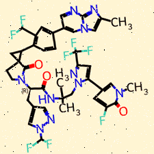 Cc1cn2cc(-c3ccc(C4CC45CCN([C@H](Cc4cnn(C(F)F)c4)C(=O)NC(C)(C)Cn4nc(C(F)(F)F)cc4-c4cc(F)c(=O)n(C)c4)C5=O)c(C(F)F)c3)cnc2n1